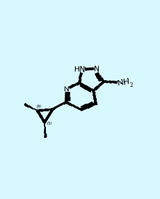 C[C@@H]1C(c2ccc3c(N)n[nH]c3n2)[C@@H]1C